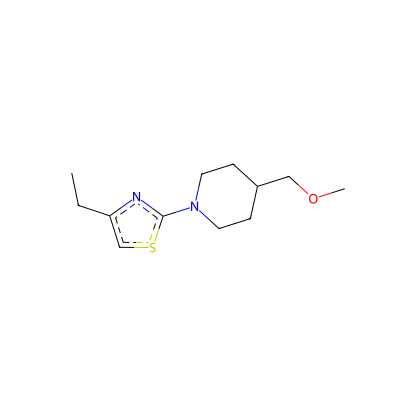 CCc1csc(N2CCC(COC)CC2)n1